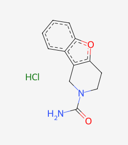 Cl.NC(=O)N1CCc2oc3ccccc3c2C1